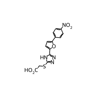 O=C(O)CSc1nnc(-c2ccc(-c3ccc([N+](=O)[O-])cc3)o2)[nH]1